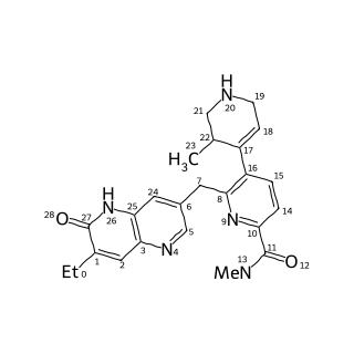 CCc1cc2ncc(Cc3nc(C(=O)NC)ccc3C3=CCNCC3C)cc2[nH]c1=O